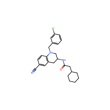 N#Cc1ccc2c(c1)CC(NC(=O)CC1CCCCC1)CN2Cc1cccc(Cl)c1